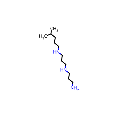 CC(C)CCCNCCCNCCCN